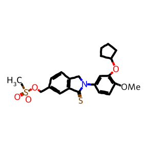 COc1ccc(N2Cc3ccc(COS(C)(=O)=O)cc3C2=S)cc1OC1CCCC1